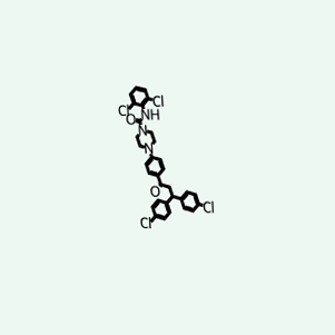 O=C(CC(c1ccc(Cl)cc1)c1ccc(Cl)cc1)c1ccc(N2CCN(C(=O)Nc3c(Cl)cccc3Cl)CC2)cc1